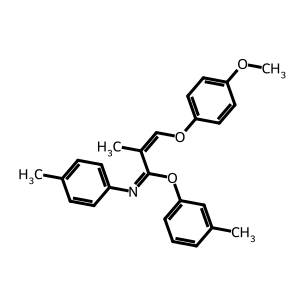 COc1ccc(OC=C(C)C(=Nc2ccc(C)cc2)Oc2cccc(C)c2)cc1